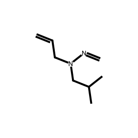 C=CCN(CC(C)C)N=C